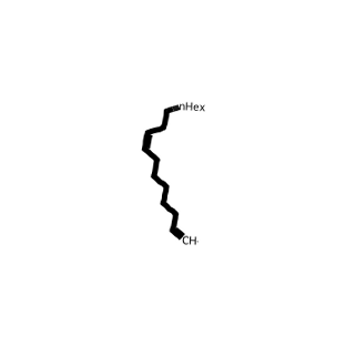 [CH]=CCCCCC/C=C\CCCCCCCC